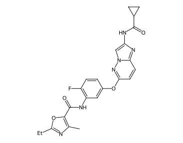 CCc1nc(C)c(C(=O)Nc2cc(Oc3ccc4nc(NC(=O)C5CC5)cn4n3)ccc2F)o1